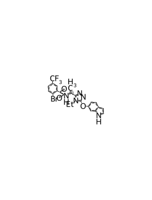 CCn1c(Oc2ccc3cc[nH]c3c2)nnc1[C@@H](C)NS(=O)(=O)c1cc(C(F)(F)F)ccc1Br